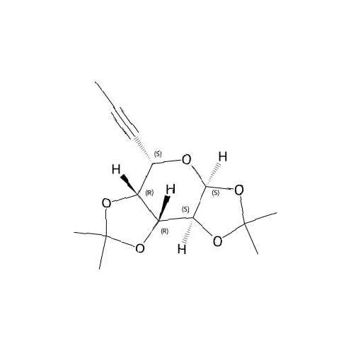 CC#C[C@@H]1O[C@H]2OC(C)(C)O[C@H]2[C@@H]2OC(C)(C)O[C@@H]21